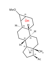 COC1C2[C@@H]3CC[C@@H]4[C@H](CC[C@]5(C)[C@@H](C(C)=O)CC[C@@H]45)[C@H]3CC[C@]12O